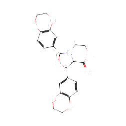 O=C1OCCN2C1[C@@H](c1ccc3c(c1)OCCO3)O[C@H]2c1ccc2c(c1)OCCO2